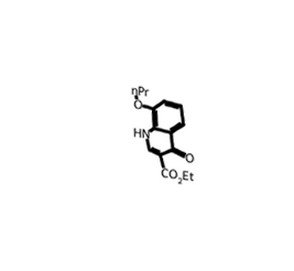 CCCOc1cccc2c(=O)c(C(=O)OCC)c[nH]c12